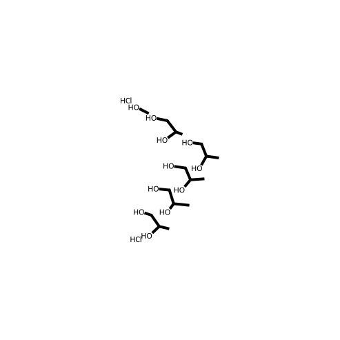 CC(O)CO.CC(O)CO.CC(O)CO.CC(O)CO.CC(O)CO.CO.Cl.Cl